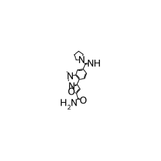 CN(C)c1cc(C(=N)N2CCCC2)ccc1-c1cc(C(N)=O)on1